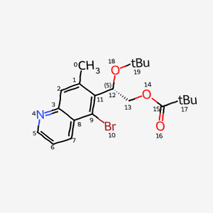 Cc1cc2ncccc2c(Br)c1[C@@H](COC(=O)C(C)(C)C)OC(C)(C)C